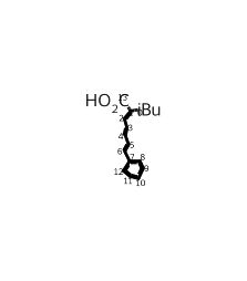 CCC(C)/C(=C\C=C\C=Cc1ccccc1)C(=O)O